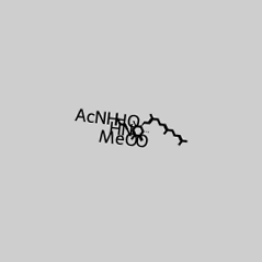 COC1=C(NCCCNC(C)=O)[C@@H](O)[C@@H](C/C=C(\C)CC/C=C(\C)CCC=C(C)C)[C@H](C)C1=O